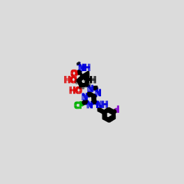 CNC(=O)[C@@]12C[C@@H]1[C@@H](n1cnc3c(NCc4cccc(I)c4)nc(Cl)nc31)[C@H](O)[C@@H]2O